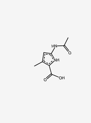 CC(=O)Nc1cc(C)c(C(=O)O)[nH]1